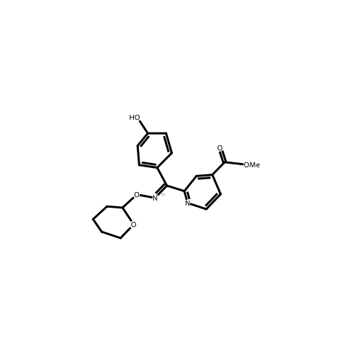 COC(=O)c1ccnc(/C(=N/OC2CCCCO2)c2ccc(O)cc2)c1